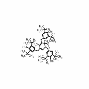 CC1=C(Cc2cc(C(C)(C)C)c(O)c(C(C)(C)C)c2)C(C)(C)C(Cc2cc(C(C)(C)C)c(O)c(C(C)(C)C)c2)C=C1Cc1cc(C(C)(C)C)c(O)c(C(C)(C)C)c1